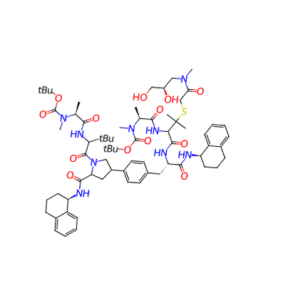 C[C@@H](C(=O)NC(C(=O)N1CC(c2ccc(C[C@H](NC(=O)C(NC(=O)[C@H](C)N(C)C(=O)OC(C)(C)C)C(C)(C)SCC(=O)N(C)C[C@@H](O)CO)C(=O)N[C@@H]3CCCc4ccccc43)cc2)CC1C(=O)N[C@@H]1CCCc2ccccc21)C(C)(C)C)N(C)C(=O)OC(C)(C)C